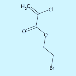 C=C(Cl)C(=O)OCCBr